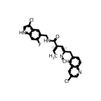 C=N/C(=C\C(=C/C)C(=O)NCc1cc2c(Cl)c[nH]c2cc1F)Cc1ccc2ncc(Cl)cc2c1